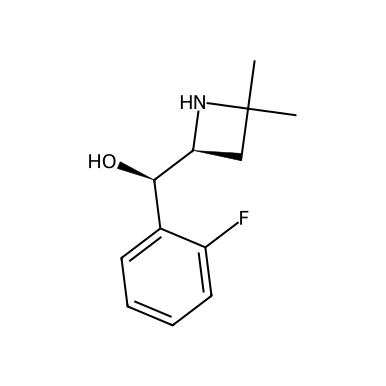 CC1(C)C[C@@H]([C@H](O)c2ccccc2F)N1